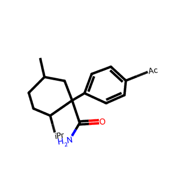 CC(=O)c1ccc(C2(C(N)=O)CC(C)CCC2C(C)C)cc1